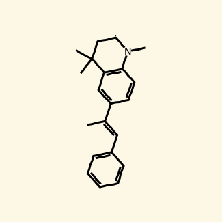 C/C(=C\c1ccccc1)c1ccc2c(c1)C(C)(C)C[CH]N2C